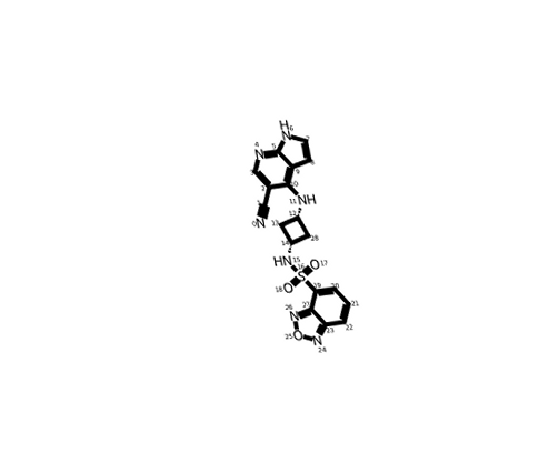 N#Cc1cnc2[nH]ccc2c1N[C@H]1C[C@@H](NS(=O)(=O)c2cccc3nonc23)C1